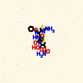 NC(=O)OCC1=C(C(=O)O)N2C(=O)C(NC(=O)C(=NOC3C=CCCC3)c3csc(N)n3)[C@@H]2SC1